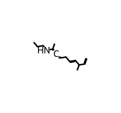 C=CC(C)C=CCC=C=C(C)NCCC